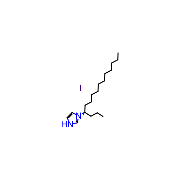 CCCCCCCCCCCC(CCC)[n+]1cc[nH]c1.[I-]